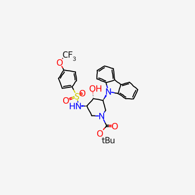 CC(C)(C)OC(=O)N1C[C@@H](NS(=O)(=O)c2ccc(OC(F)(F)F)cc2)[C@H](O)[C@@H](n2c3ccccc3c3ccccc32)C1